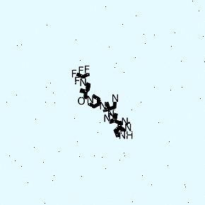 C=C(/C=C\N=C(/CF)C(F)(F)F)C(=O)N1CCC(N2CC(CC#N)(n3cc(-c4ncnc5[nH]ccc45)cn3)C2)CC1